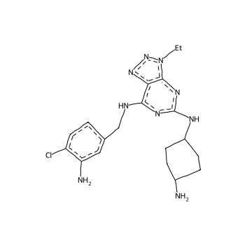 CCn1nnc2c(NCc3ccc(Cl)c(N)c3)nc(NC3CCC(N)CC3)nc21